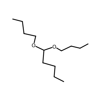 CCCCOC(CCCC)OCCCC